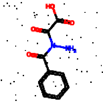 NN(C(=O)C(=O)O)C(=O)c1ccccc1